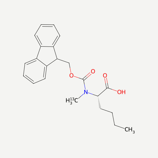 CCCC[C@@H](C(=O)O)N([13CH3])C(=O)OCC1c2ccccc2-c2ccccc21